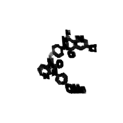 COc1ccc(-n2c(=O)n(C[C@H]3CC[C@H](NC(=O)c4cc(Cl)cnc4C(F)F)CC3)c3cccnc32)cc1